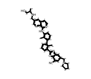 Cc1c(Nc2nccc3cc(CNC(C)CO)cnc23)cccc1-c1cccc(-c2nc3cc(CN4CCCC4)cc(C#N)c3o2)c1C